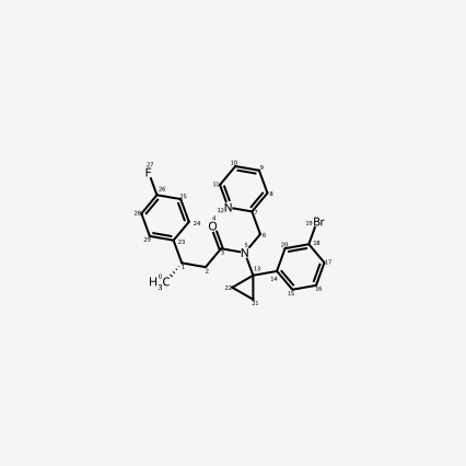 C[C@@H](CC(=O)N(Cc1ccccn1)C1(c2cccc(Br)c2)CC1)c1ccc(F)cc1